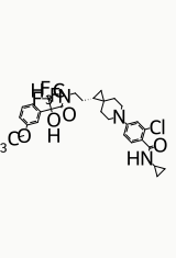 COc1cccc(C(O)(C(=O)N(C)CC[C@@H]2CC23CCN(c2ccc(C(=O)NC4CC4)c(Cl)c2)CC3)C(F)(F)F)c1